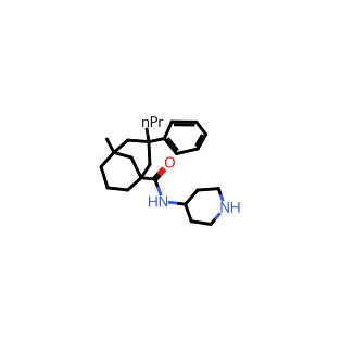 CCCC1(c2ccccc2)CC2(C)CCCC(C(=O)NC3CCNCC3)(C2)C1